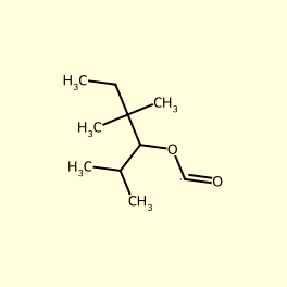 CCC(C)(C)C(O[C]=O)C(C)C